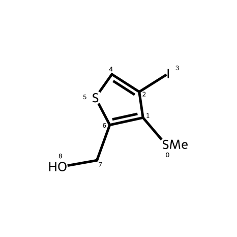 CSc1c(I)csc1CO